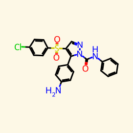 Nc1ccc(-c2c(S(=O)(=O)c3ccc(Cl)cc3)cnn2C(=O)Nc2ccccc2)cc1